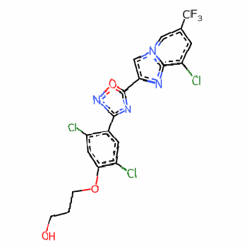 OCCCOc1cc(Cl)c(-c2noc(-c3cn4cc(C(F)(F)F)cc(Cl)c4n3)n2)cc1Cl